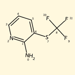 Nc1ncccc1SC(F)(F)F